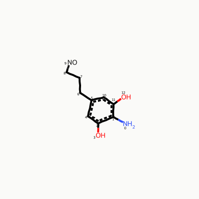 Nc1c(O)cc(CCCN=O)cc1O